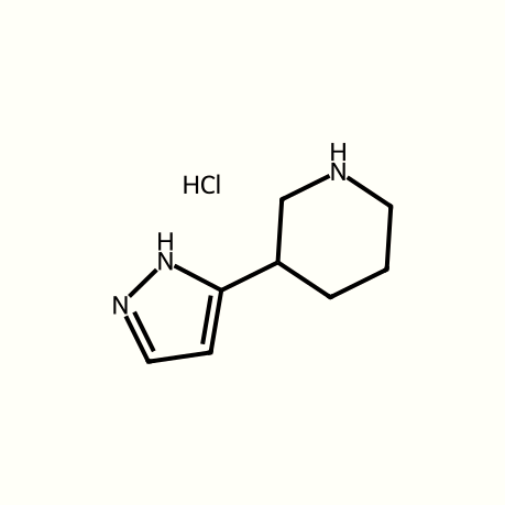 Cl.c1cc(C2CCCNC2)[nH]n1